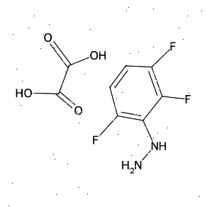 NNc1c(F)ccc(F)c1F.O=C(O)C(=O)O